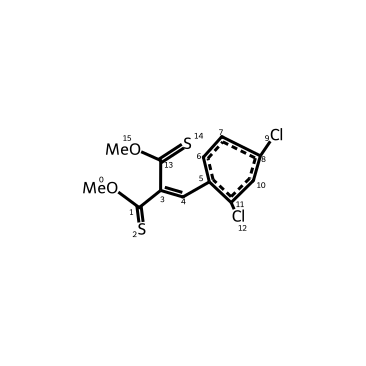 COC(=S)C(=Cc1ccc(Cl)cc1Cl)C(=S)OC